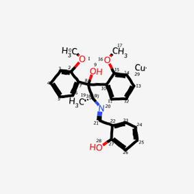 COc1ccccc1C(O)(c1ccccc1OC)[C@@H](C)N=Cc1ccccc1O.[Cu]